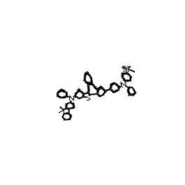 CC1(C)c2ccccc2-c2ccc(N(c3ccccc3)c3ccc4c(c3)sc3c5ccc(-c6ccc(N(c7ccccc7)c7ccc([Si](C)(C)C)cc7)cc6)cc5c5ccccc5c43)cc21